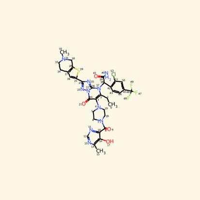 CCc1c(N2CCN(C(=O)c3ncnc(C)c3O)CC2)c(=O)n2nc(-c3cc4c(s3)CN(C)CC4)nc2n1C(C(N)=O)c1ccc(C(F)(F)F)cc1Cl